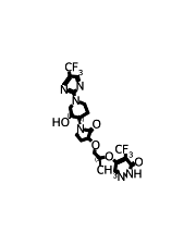 C[C@@H](COC1CCN([C@@H]2CCN(c3ncc(C(F)(F)F)cn3)C[C@H]2O)C1=O)Oc1cn[nH]c(=O)c1C(F)(F)F